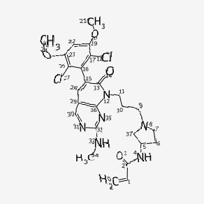 C=CC(=O)NC1CCN(CCCn2c(=O)c(-c3c(Cl)c(OC)cc(OC)c3Cl)cc3cnc(NC)nc32)C1